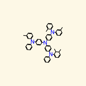 Cc1cccc(N(c2ccccc2)c2ccc(N(c3ccc(N(C4=CC=CC(C)C4C)c4ccccc4)cc3)c3ccc(N(c4cccc(C)c4)c4ccccc4C)cc3)cc2)c1